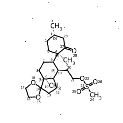 C[C@H]1CC[C@](C)(C2CC[C@@]3(C)C(CCC34OCCO4)[C@@H]2CCOS(C)(=O)=O)C(=O)C1